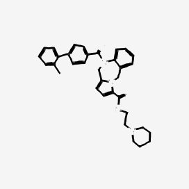 Cc1ccccc1-c1ccc(C(=O)N2Cc3ccc(C(=O)NCCN4CCCCC4)n3Cc3ccccc32)cc1